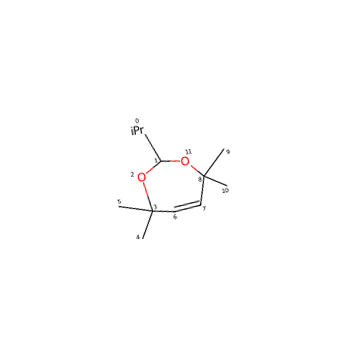 CC(C)C1OC(C)(C)C=CC(C)(C)O1